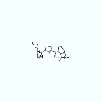 O=C1NCc2cccc(Nc3cccc(-c4nncn4CCC(F)(F)F)n3)c21